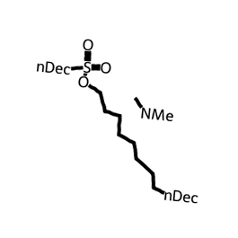 CCCCCCCCCCCCCCCCCCOS(=O)(=O)CCCCCCCCCC.CNC